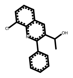 CC(O)c1cc2cccc(Cl)c2nc1-c1ccccc1